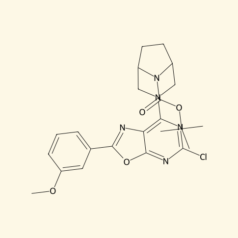 COc1cccc(-c2nc3c(N4CC5CCC(C4)N5C(=O)OC(C)(C)C)nc(Cl)nc3o2)c1